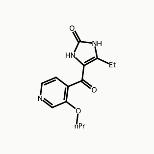 CCCOc1cnccc1C(=O)c1[nH]c(=O)[nH]c1CC